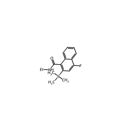 CCNC(=O)c1c([Si](C)(C)C)cc(F)c2ccccc12